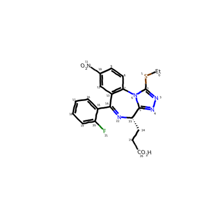 CCSc1nnc2n1-c1ccc([N+](=O)[O-])cc1C(c1ccccc1F)=N[C@H]2CCC(=O)O